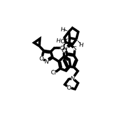 O[C@]1(c2nc3ccc(CN4CCOCC4)cc3s2)[C@@H]2CC[C@H]1C[C@@H](OCc1c(-c3c(Cl)cccc3Cl)noc1C1CC1)C2